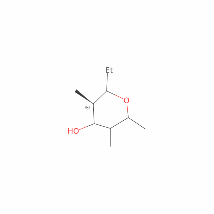 CCC1OC(C)C(C)C(O)[C@H]1C